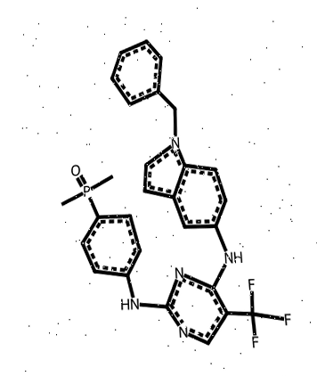 CP(C)(=O)c1ccc(Nc2ncc(C(F)(F)F)c(Nc3ccc4c(ccn4Cc4ccccc4)c3)n2)cc1